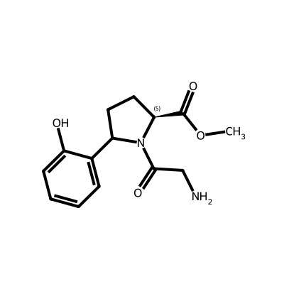 COC(=O)[C@@H]1CCC(c2ccccc2O)N1C(=O)CN